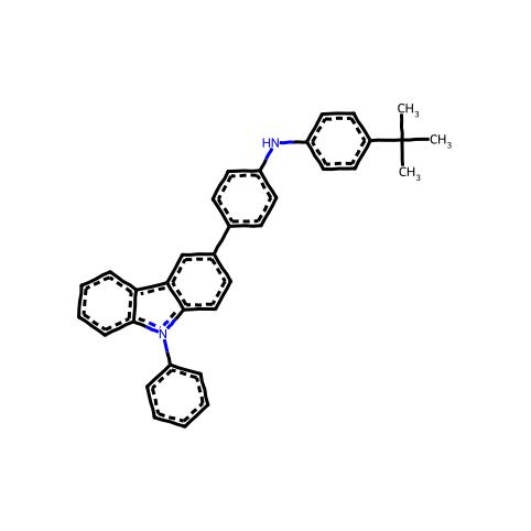 CC(C)(C)c1ccc(Nc2ccc(-c3ccc4c(c3)c3ccccc3n4-c3ccccc3)cc2)cc1